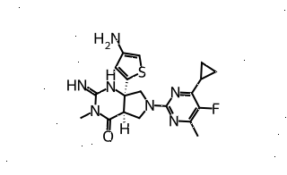 Cc1nc(N2C[C@H]3C(=O)N(C)C(=N)N[C@@]3(c3cc(N)cs3)C2)nc(C2CC2)c1F